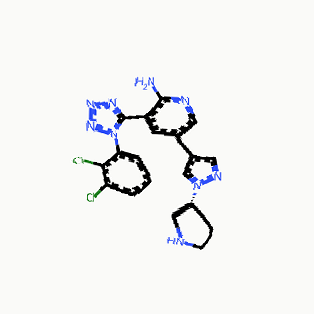 Nc1ncc(-c2cnn([C@@H]3CCNC3)c2)cc1-c1nnnn1-c1cccc(Cl)c1Cl